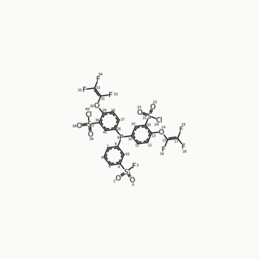 O=S(=O)(F)c1cccc(P(c2ccc(OC(F)=C(F)F)c(S(=O)(=O)Cl)c2)c2ccc(OC(F)=C(F)F)c(S(=O)(=O)Cl)c2)c1